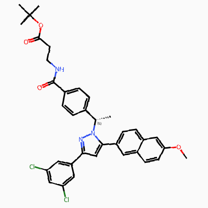 COc1ccc2cc(-c3cc(-c4cc(Cl)cc(Cl)c4)nn3[C@@H](C)c3ccc(C(=O)NCCC(=O)OC(C)(C)C)cc3)ccc2c1